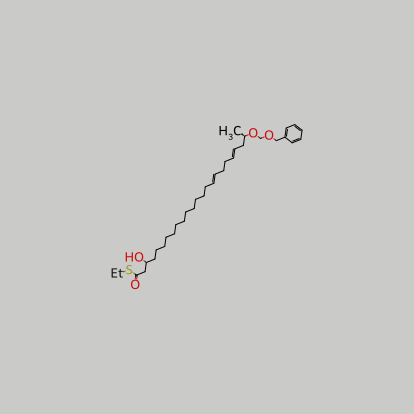 CCSC(=O)CC(O)CCCCCCCCCCCC/C=C/CC/C=C/C[C@@H](C)OCOCc1ccccc1